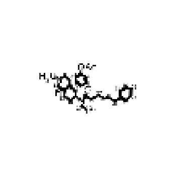 CC(=O)Oc1cccc([C@@]23CCN(C)C[C@H]2CC[C@@H](N(CC(C)C)C(=O)CCCCCc2ccccc2)C3)c1